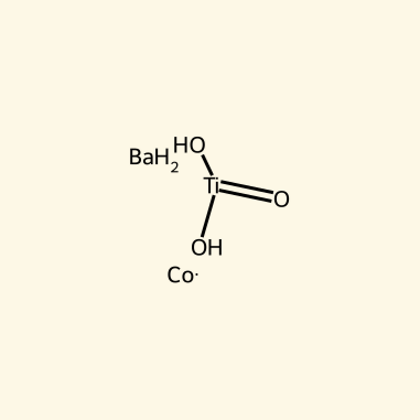 [BaH2].[Co].[O]=[Ti]([OH])[OH]